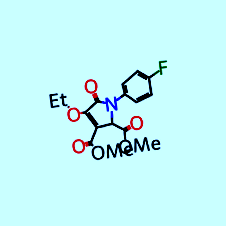 CCOC1=C(C(=O)OC)C(C(=O)OC)N(c2ccc(F)cc2)C1=O